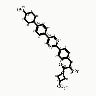 CCCC(Cc1ccc(-c2ncc(-c3ccc(C4CCC(C(C)(C)C)CC4)cc3)cn2)cc1)C(=O)N1CC(C(=O)O)C1